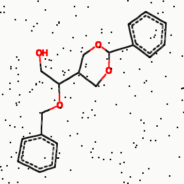 OCC(OCc1ccccc1)C1COC(c2ccccc2)OC1